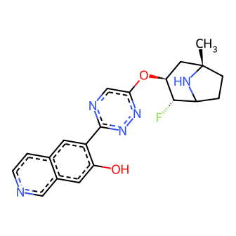 C[C@@]12CCC(N1)[C@H](F)[C@@H](Oc1cnc(-c3cc4ccncc4cc3O)nn1)C2